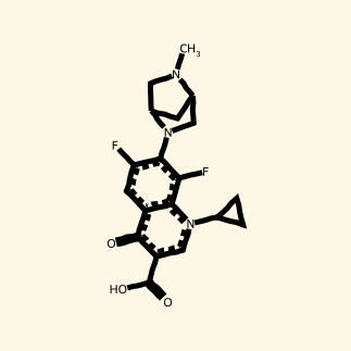 CN1CC2CC1CN2c1c(F)cc2c(=O)c(C(=O)O)cn(C3CC3)c2c1F